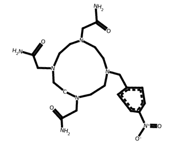 NC(=O)CN1CCN(CC(N)=O)CCN(Cc2ccc([N+](=O)[O-])cc2)CCN(CC(N)=O)CC1